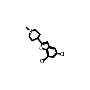 CN1CCC(c2cc3cc(Cl)cc(Cl)c3o2)CC1